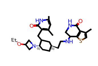 CCOC1CN([C@H]2CC[C@H](CCNC3CNC(=O)c4c(C)csc43)CC2Cc2c(C)cc(C)[nH]c2=O)C1